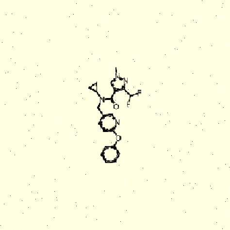 Cn1cc(C(=O)N(Cc2ccc(Oc3ccccc3)nc2)C2CC2)c(C(F)F)n1